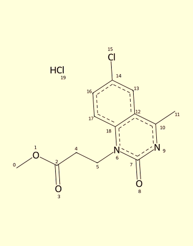 COC(=O)CCn1c(=O)nc(C)c2cc(Cl)ccc21.Cl